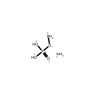 BOP(=O)(O)O.[InH3]